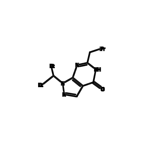 CCC(CC)n1ncc2c(=O)[nH]c(CC(C)C)nc21